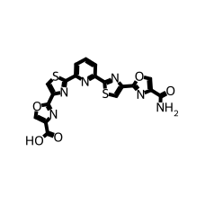 NC(=O)c1coc(-c2csc(-c3cccc(-c4nc(-c5nc(C(=O)O)co5)cs4)n3)n2)n1